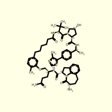 Cc1ccc(CCCCCC(=O)N[C@H](C(=O)N2C[C@H](O)C[C@H]2C(=O)N[C@@H](C)c2ccc(-c3scnc3C)cc2)C(C)(C)C)cc1OC[C@H](CCC(N)=O)NC(=O)[C@@H]1Cc2cccc3c2N1C(=O)[C@@H](N)CC3